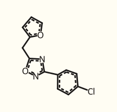 Clc1ccc(-c2noc(Cc3ccco3)n2)cc1